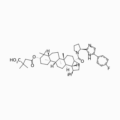 CC(C)[C@@H]1CC[C@]2(C(=O)N3CCC[C@H]3c3ncc(-c4ccc(F)cc4)[nH]3)CC[C@]3(C)[C@H](CC[C@@H]4[C@@]5(C)CC[C@H](OC(=O)CC(C)(C)C(=O)O)C(C)(C)[C@@H]5CC[C@]43C)[C@@H]12